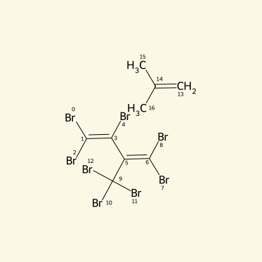 BrC(Br)=C(Br)C(=C(Br)Br)C(Br)(Br)Br.C=C(C)C